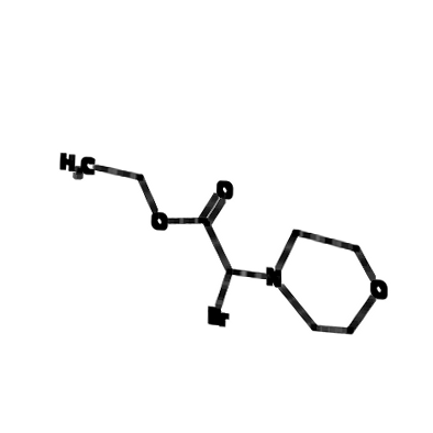 CCOC(=O)C(Br)N1CCOCC1